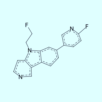 FCCn1c2ccncc2c2ccc(-c3ccc(F)nc3)cc21